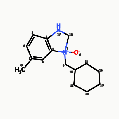 Cc1ccc2c(c1)[N+]([O-])(CC1CCCCC1)CN2